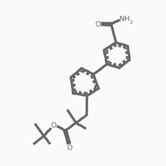 CC(C)(C)OC(=O)C(C)(C)Cc1cccc(-c2cccc(C(N)=O)c2)c1